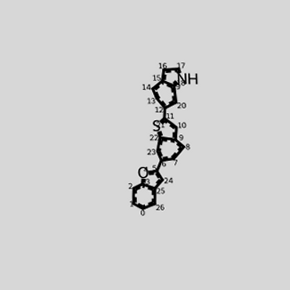 c1ccc2oc(-c3ccc4cc(-c5ccc6cc[nH]c6c5)sc4c3)cc2c1